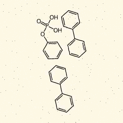 O=P(O)(O)Oc1ccccc1.c1ccc(-c2ccccc2)cc1.c1ccc(-c2ccccc2)cc1